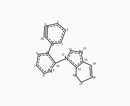 c1cccc(-c2cccnc2-n2cnc3c2CCC=C3)c#1